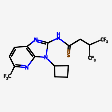 FC(F)(F)c1ccc2nc(NC(=S)CC(C(F)(F)F)C(F)(F)F)n(C3CCC3)c2n1